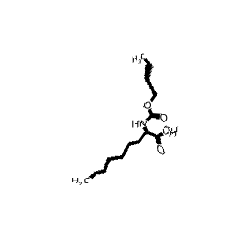 C=CCCCCCC(NC(=O)OCCCC)C(=O)O